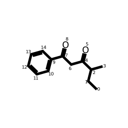 CCC(C)C(=O)CC(=O)c1ccccc1